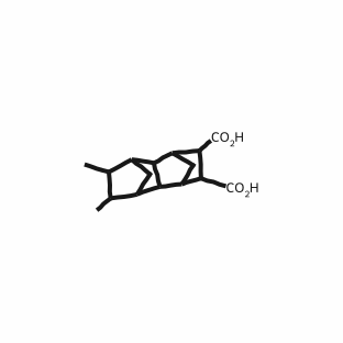 CC1C(C)C2CC1C1C3CC(C(C(=O)O)C3C(=O)O)C21